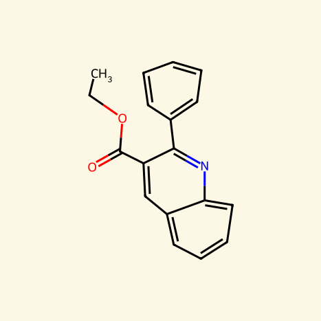 CCOC(=O)c1cc2ccccc2nc1-c1ccccc1